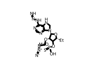 CC[C@H]1O[C@@H](N2CNc3c(NN=N)ncnc32)[C@@H](OCN=[N+]=[N-])C1OP(O)(=S)OC